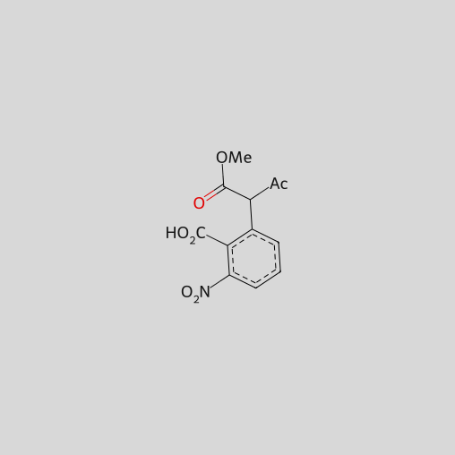 COC(=O)C(C(C)=O)c1cccc([N+](=O)[O-])c1C(=O)O